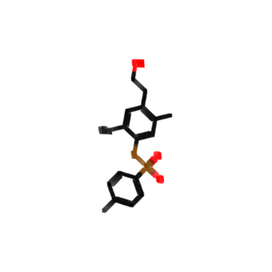 Cc1ccc(S(=O)(=O)Sc2cc(C)c(CCO)cc2C(C)(C)C)cc1